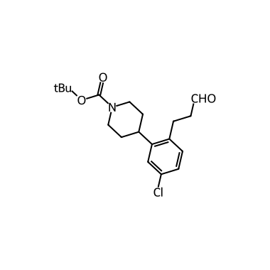 CC(C)(C)OC(=O)N1CCC(c2cc(Cl)ccc2CCC=O)CC1